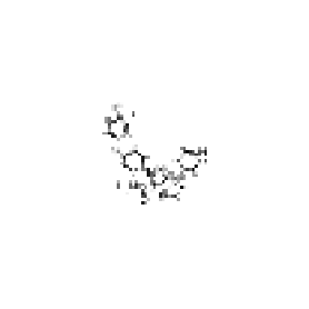 Cc1ccc(Oc2ccc(-n3nc4c(c3C(N)=O)NCC[C@@H]4N3CCNCC3)cc2)cc1